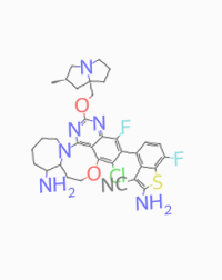 C[C@H]1CN2CCCC2(COc2nc3c4c(c(Cl)c(-c5ccc(F)c6sc(N)c(C#N)c56)c(F)c4n2)OCCC2C(N)CCCCN32)C1